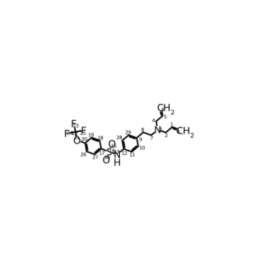 C=CCN(CC=C)CCc1ccc(NS(=O)(=O)c2ccc(OC(F)(F)F)cc2)cc1